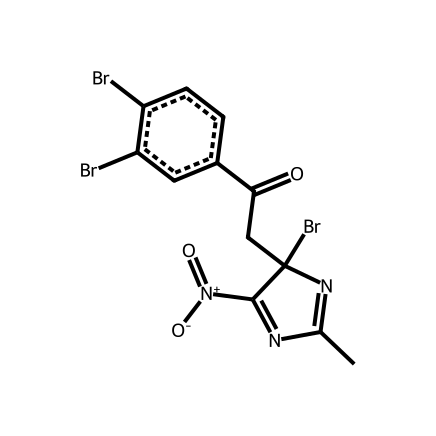 CC1=NC(Br)(CC(=O)c2ccc(Br)c(Br)c2)C([N+](=O)[O-])=N1